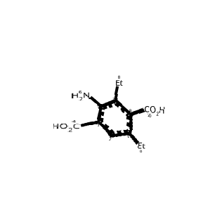 CCc1cc(C(=O)O)c(N)c(CC)c1C(=O)O